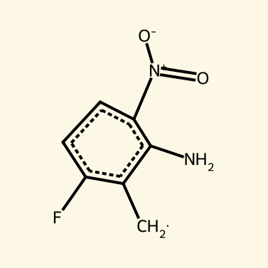 [CH2]c1c(F)ccc([N+](=O)[O-])c1N